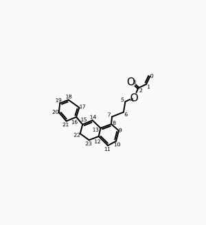 C=CC(=O)OCCCc1cccc2c1C=C(c1ccccc1)CC2